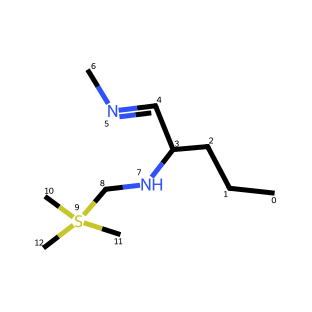 CCCC(C=NC)NCS(C)(C)C